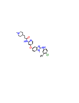 CC(C)c1cc(Nc2nc3cc(Oc4ccnc(NC(=O)CCC5CCN(C)CC5)c4)ccc3n2C)ccc1Cl